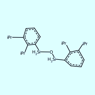 CC(C)c1cccc([SiH2]O[SiH2]c2cccc(C(C)C)c2C(C)C)c1C(C)C